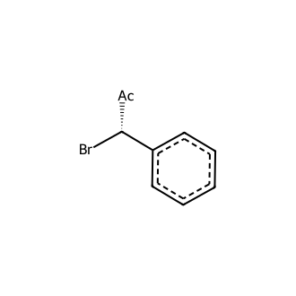 CC(=O)[C@@H](Br)c1ccccc1